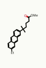 CCc1ccc2cc3ccc(C(C)(C)CCCC(=O)OC)cc3cc2c1